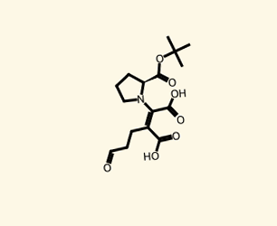 CC(C)(C)OC(=O)[C@@H]1CCCN1/C(C(=O)O)=C(\CCC=O)C(=O)O